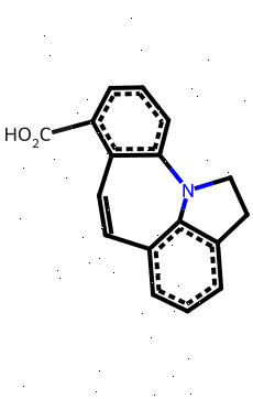 O=C(O)c1cccc2c1C=Cc1cccc3c1N2CC3